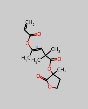 C=CC(=O)O/C(C)=C/C(C)(C)C(=O)OC1(C)CCOC1=O